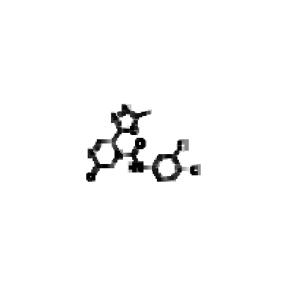 Cc1nnc(C2C=NC(=O)CN2C(=O)Nc2ccc(Cl)c(Cl)c2)o1